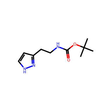 CC(C)(C)OC(=O)NCCc1cc[nH]n1